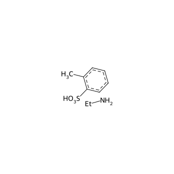 CCN.Cc1ccccc1S(=O)(=O)O